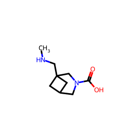 CNCC12CC(CN(C(=O)O)C1)C2